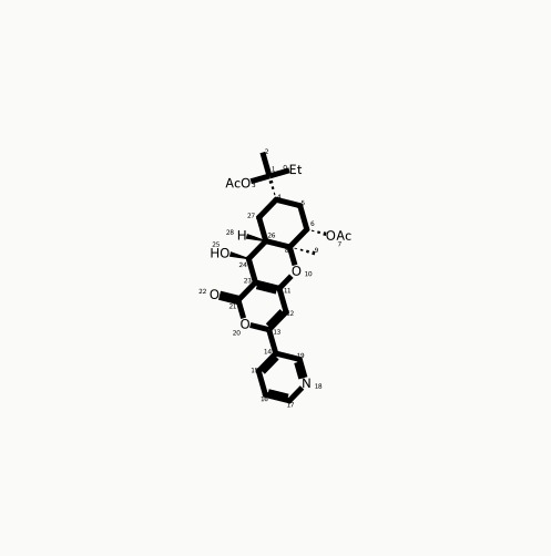 CCC(C)(OC(C)=O)[C@@H]1C[C@H](OC(C)=O)[C@@]2(C)Oc3cc(-c4cccnc4)oc(=O)c3[C@@H](O)[C@@H]2C1